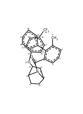 Cc1cccc(C(=O)N2C3CCC2C(Oc2ccc(C(F)(F)F)cn2)C3)c1-c1ccccn1